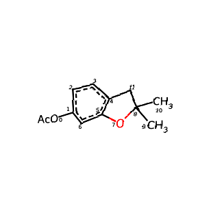 CC(=O)Oc1ccc2c(c1)OC(C)(C)C2